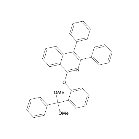 COC(OC)(c1ccccc1)c1ccccc1Oc1nc(-c2ccccc2)c(-c2ccccc2)c2ccccc12